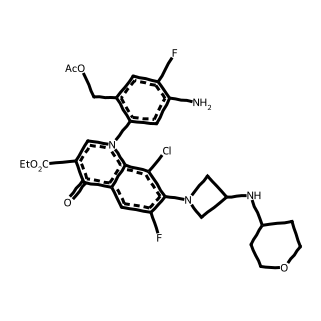 CCOC(=O)c1cn(-c2cc(N)c(F)cc2COC(C)=O)c2c(Cl)c(N3CC(NC4CCOCC4)C3)c(F)cc2c1=O